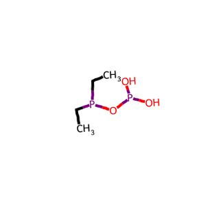 CCP(CC)OP(O)O